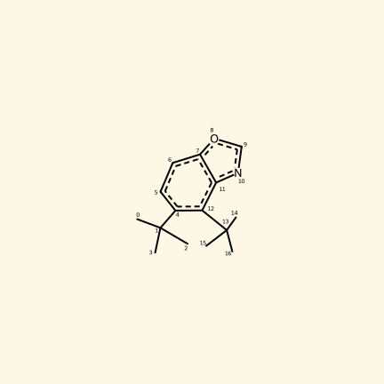 CC(C)(C)c1ccc2ocnc2c1C(C)(C)C